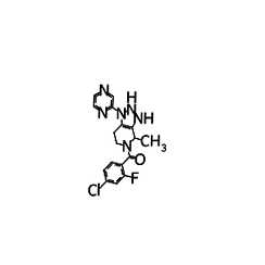 CC1C2=C(CCN1C(=O)c1ccc(Cl)cc1F)N(c1cnccn1)NN2